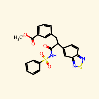 COC(=O)c1cccc(CC(C(=O)NS(=O)(=O)c2ccccc2)c2ccc3nsnc3c2)c1